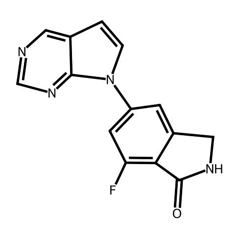 O=C1NCc2cc(-n3ccc4cncnc43)cc(F)c21